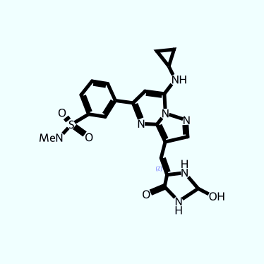 CNS(=O)(=O)c1cccc(-c2cc(NC3CC3)n3ncc(/C=C4\NC(O)NC4=O)c3n2)c1